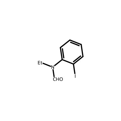 CCN(C=O)c1ccccc1I